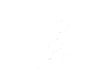 CCOC(=O)c1cnc(-c2ccc(F)cc2)nc1N(C)C